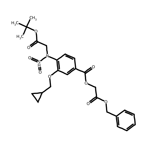 CC(C)(C)OC(=O)CN(c1ccc(C(=O)OCC(=O)OCc2ccccc2)cc1OCC1CC1)[SH](=O)=O